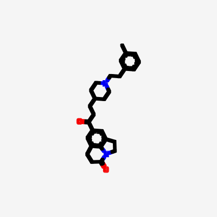 Cc1cccc(CCN2CCC(CCC(=O)c3cc4c5c(c3)CCN5C(=O)CC4)CC2)c1